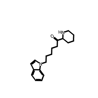 O=C(CCCCCn1ccc2ccccc21)C1CCCCN1